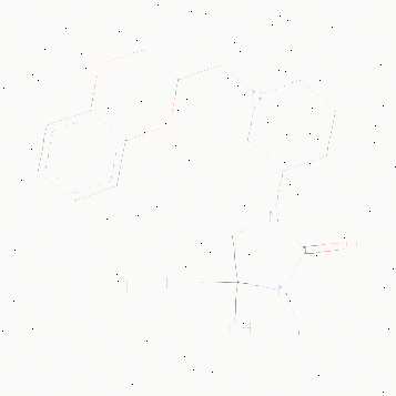 CN1C(=O)N(C2CCCN(CC3COc4ccccc4O3)C2)CC1(C)C.Cl